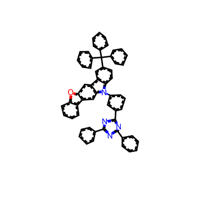 c1ccc(-c2nc(-c3ccccc3)nc(-c3cccc(-n4c5ccc(C(c6ccccc6)(c6ccccc6)c6ccccc6)cc5c5cc6oc7ccccc7c6cc54)c3)n2)cc1